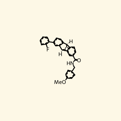 COc1ccc(CNC(=O)c2ccc3c(c2)[C@@H]2O[C@H]3c3ccc(-c4ccccc4F)cc32)cc1